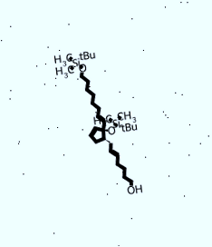 CC(C)(C)[Si](C)(C)OCCCCCCC=C[C@@]1(O[Si](C)(C)C(C)(C)C)C=CC[C@H]1C/C=C/CCCCO